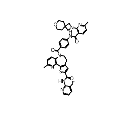 Cc1ccc2c(n1)-c1sc(C(=O)Nc3ncccc3F)cc1CCN2C(=O)c1ccc(NC(=O)c2ccc(C)nc2N2CC3(CCOCC3)C2)cc1